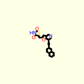 O=C1NC(=O)C(=Cc2cc3cncc(C#Cc4ccc5ccccc5c4)c3o2)S1